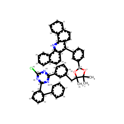 CC1(C)OB(c2cccc(-c3c4ccc5ccccc5c4nc4c3ccc3ccccc34)c2)OC1(C)Cc1cccc(-c2nc(Cl)nc(-c3ccccc3-c3ccccc3)n2)c1